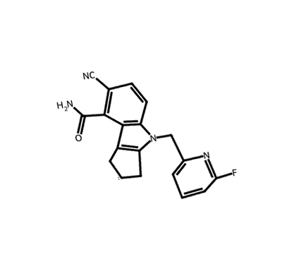 N#Cc1ccc2c(c3c(n2Cc2cccc(F)n2)C[C]C3)c1C(N)=O